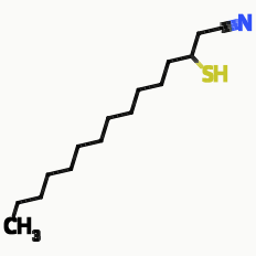 CCCCCCCCCCCCC(S)CC#N